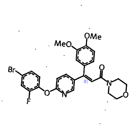 COc1ccc(/C(=C\C(=O)N2CCOCC2)c2ccc(Oc3ccc(Br)cc3F)nc2)cc1OC